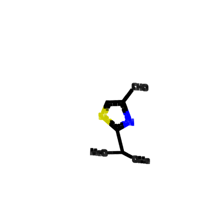 COC(OC)c1nc(C=O)cs1